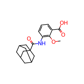 COc1c(NC(=O)C23CC4CC(CC(C4)C2)C3)cccc1C(=O)O